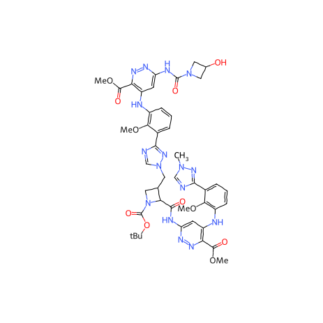 COC(=O)c1nnc(NC(=O)C2C(Cn3cnc(-c4cccc(Nc5cc(NC(=O)N6CC(O)C6)nnc5C(=O)OC)c4OC)n3)CN2C(=O)OC(C)(C)C)cc1Nc1cccc(-c2ncn(C)n2)c1OC